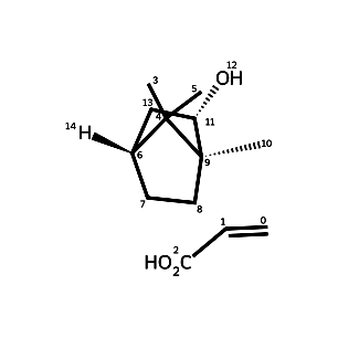 C=CC(=O)O.CC1(C)[C@@H]2CC[C@]1(C)[C@@H](O)C2